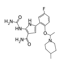 CC1CCN(C(C)Oc2ccc(F)cc2-c2cc(C(N)=O)c(NC(N)=O)[nH]2)CC1